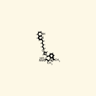 COC[C@@H](C)n1nc(C)c2cccc(C(C(=O)O)N3CC(OCCCCCc4ccc5c(n4)NCCC5)C3)c21